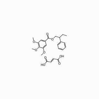 CCC(COC(=O)c1cc(OC)c(OC)c(OC)c1)c1ccccc1.O=C(O)C=CC(=O)O